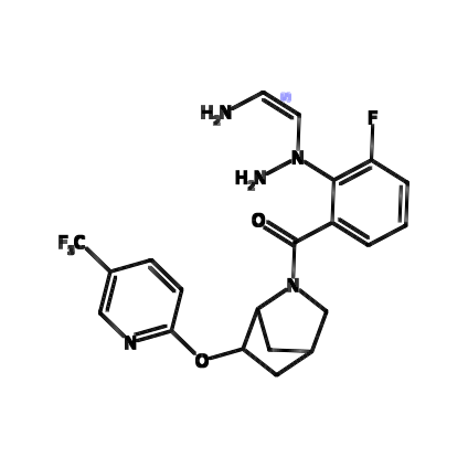 N/C=C\N(N)c1c(F)cccc1C(=O)N1CC2CC(Oc3ccc(C(F)(F)F)cn3)C1C2